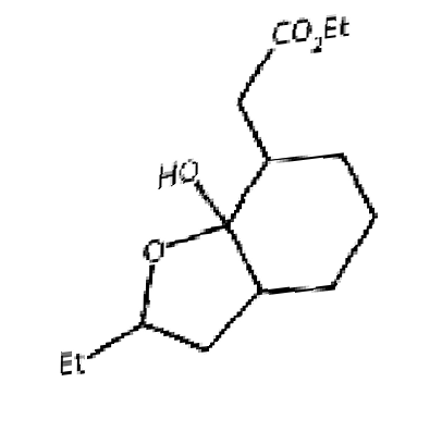 CCOC(=O)CC1CCCC2CC(CC)OC12O